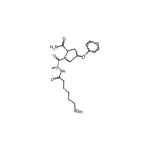 CCCCCCCCCCCCCCCC(=O)N[C@@H](C)C(=O)N1CC(Oc2ccncc2)CC1C(N)=O